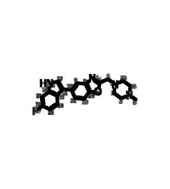 CN1CCN(Cc2nc3cc(-c4c[nH]c5cc(F)ccc45)ccc3o2)CC1